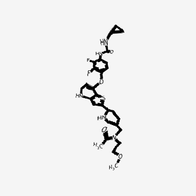 COCCN(CC1=CNC(c2cc3c(s2)C(Oc2ccc(NC(=O)NC4CC4)c(F)c2F)=CCN3)C=C1)C(C)=O